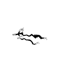 CCCCCCCCCC(C)(C)S.CCCCCCS